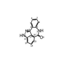 O=C1Nc2ccccc2-c2n[nH]c3cccc1c23